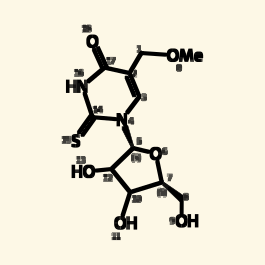 COCc1cn([C@H]2O[C@@H](CO)C(O)C2O)c(=S)[nH]c1=O